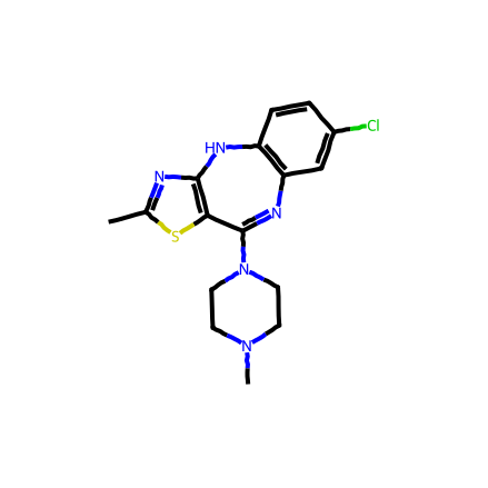 Cc1nc2c(s1)C(N1CCN(C)CC1)=Nc1cc(Cl)ccc1N2